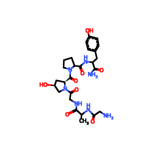 CC(NC(=O)CN)C(=O)NCC(=O)N1C[C@@H](O)C[C@@H]1C(=O)N1CCCC1C(=O)NC(Cc1ccc(O)cc1)C(N)=O